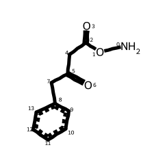 NOC(=O)CC(=O)Cc1ccccc1